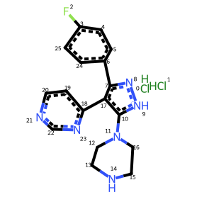 Cl.Cl.Fc1ccc(-c2n[nH]c(N3CCNCC3)c2-c2ccncn2)cc1